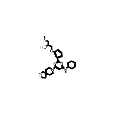 CNCC(O)COc1cccc(-c2nc(N3CCC4(CCOC4)CC3)cc(N(C)C3CCCCC3)n2)c1